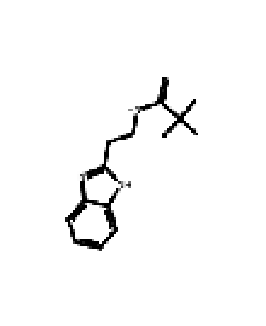 C=C(NCCc1nc2ccccc2[nH]1)C(C)(C)C